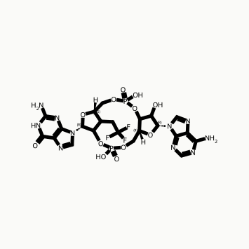 Nc1nc2c(ncn2[C@@H]2O[C@@H]3COP(=O)(O)OC4C(O)[C@H](n5cnc6c(N)ncnc65)O[C@@H]4COP(=O)(O)OC2C3CC(F)(F)F)c(=O)[nH]1